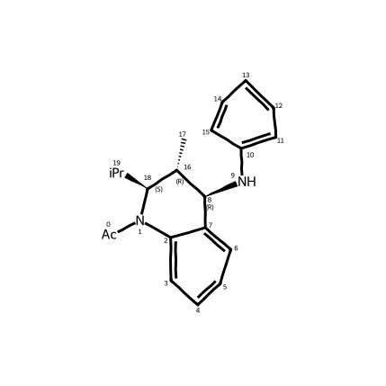 CC(=O)N1c2ccccc2[C@H](Nc2ccccc2)[C@@H](C)[C@@H]1C(C)C